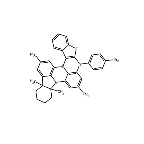 Cc1cc2c3c(c1)N1c4c(cc(C)cc4C4(C)CCCCC14C)B3c1c(sc3ccccc13)N2c1ccc(C(C)(C)C)cc1